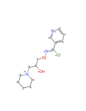 OC(CON=C(Cl)c1cccnc1)CN1CCCCC1